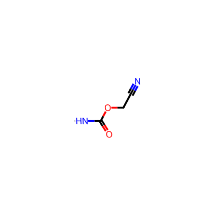 N#CCOC([NH])=O